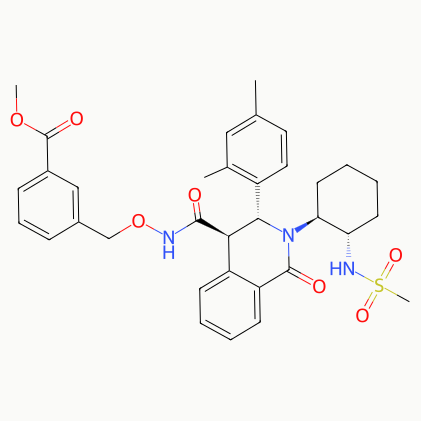 COC(=O)c1cccc(CONC(=O)[C@@H]2c3ccccc3C(=O)N([C@H]3CCCC[C@@H]3NS(C)(=O)=O)[C@H]2c2ccc(C)cc2C)c1